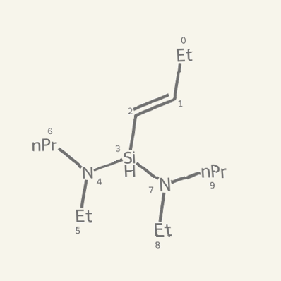 CCC=C[SiH](N(CC)CCC)N(CC)CCC